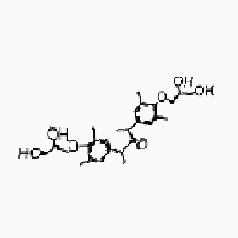 Cc1cc(C(C)C(=O)C(C)c2cc(C)c(OCC(O)CO)c(C)c2)cc(C)c1OCC(O)CO